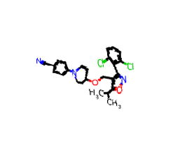 CC(C)c1onc(-c2c(Cl)cccc2Cl)c1COC1CCN(c2ccc(C#N)cc2)CC1